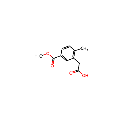 COC(=O)c1ccc(C)c(CC(=O)O)c1